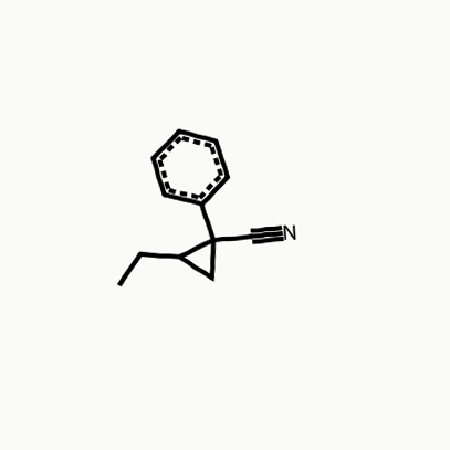 CCC1CC1(C#N)c1ccccc1